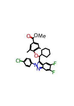 COC(=O)c1cc(C)c(OC(c2c3cc(F)c(F)cc3nn2-c2ccc(Cl)cc2)C2CCCCC2)c(C)c1